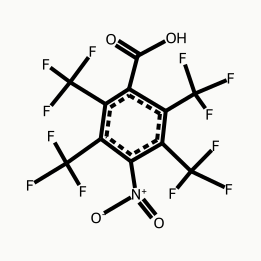 O=C(O)c1c(C(F)(F)F)c(C(F)(F)F)c([N+](=O)[O-])c(C(F)(F)F)c1C(F)(F)F